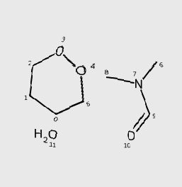 C1CCOOC1.CN(C)C=O.O